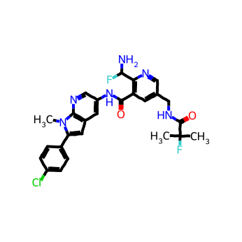 Cn1c(-c2ccc(Cl)cc2)cc2cc(NC(=O)c3cc(CNC(=O)C(C)(C)F)cnc3C(N)F)cnc21